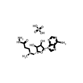 CN(CCC(=O)NN)C[C@H]1O[C@@H](n2cnc3c(N)ncnc32)C(O)C1O.O=S(=O)(O)O